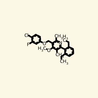 CCc1cccc(CC)c1-c1nc(C)c(COc2ccc(Cl)c(F)c2)c(OC)c1C